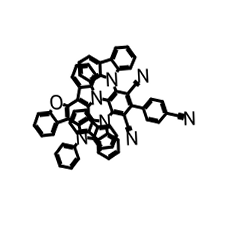 N#Cc1ccc(-c2c(C#N)c(-n3c4ccccc4c4ccccc43)c(-n3c4ccccc4c4c5oc6ccccc6c5c5c(c6ccccc6n5-c5ccccc5)c43)c(-n3c4ccccc4c4ccccc43)c2C#N)cc1